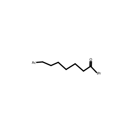 CC(=O)CCCCCCC(=O)C(C)C